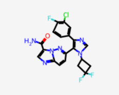 NC(=O)c1cnc2ccc(-c3c(-c4ccc(F)c(Cl)c4)ncn3C3CC(F)(F)C3)nn12